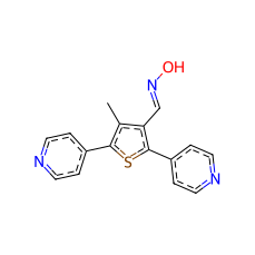 Cc1c(-c2ccncc2)sc(-c2ccncc2)c1/C=N/O